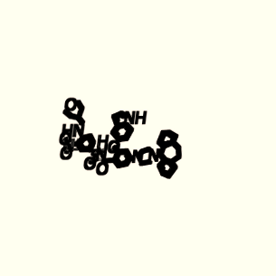 O=C(N[S+]([O-])c1ccc(NCC2CCOCC2)c([N+](=O)[O-])c1)c1ccc(N2CCN(C3c4ccccc4CCc4ccccc43)CC2)cc1Oc1ccc2[nH]ccc2c1